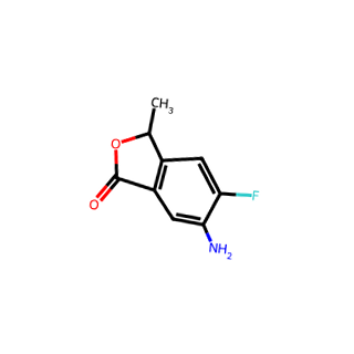 CC1OC(=O)c2cc(N)c(F)cc21